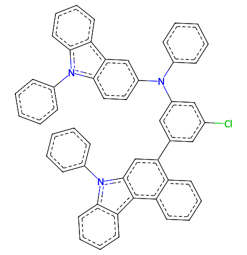 Clc1cc(-c2cc3c(c4ccccc24)c2ccccc2n3-c2ccccc2)cc(N(c2ccccc2)c2ccc3c(c2)c2ccccc2n3-c2ccccc2)c1